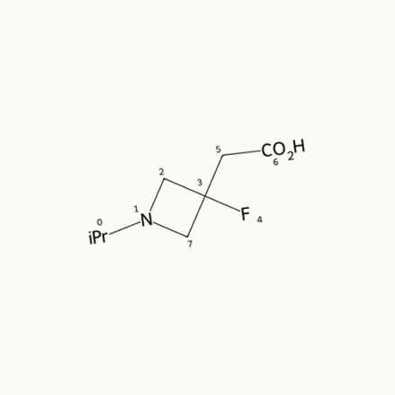 CC(C)N1CC(F)(CC(=O)O)C1